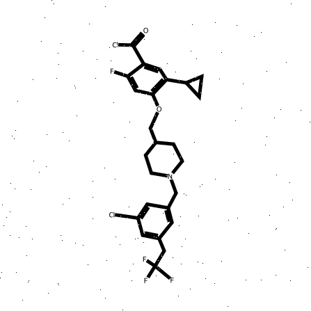 O=C(Cl)c1cc(C2CC2)c(OCC2CCN(Cc3cc(Cl)cc(CC(F)(F)F)c3)CC2)cc1F